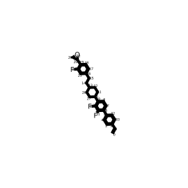 C=Cc1ccc(-c2ccc(C3CCC(CCc4ccc(C5CO5)c(F)c4)CC3)c(F)c2F)cc1